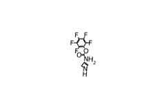 C1=CNC1.NC(=O)Oc1c(F)c(F)c(F)c(F)c1F